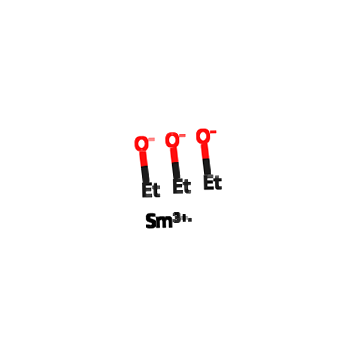 CC[O-].CC[O-].CC[O-].[Sm+3]